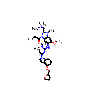 C=CC(=O)Nc1cc(N/C(N=C)=N/C(=C\C)n2ccc3c(OCC4CCCO4)cccc32)c(OC)cc1N(C)CCN(C)C